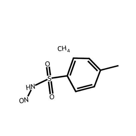 C.Cc1ccc(S(=O)(=O)NN=O)cc1